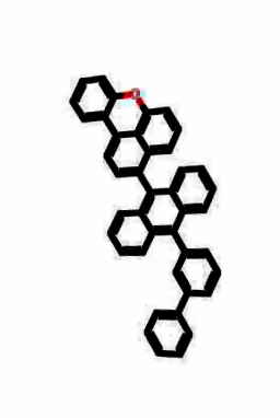 c1ccc(-c2cccc(-c3c4ccccc4c(-c4ccc5c6c(cccc46)Oc4ccccc4-5)c4ccccc34)c2)cc1